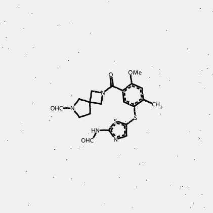 COc1cc(C)c(Sc2cnc(NC=O)s2)cc1C(=O)N1CC2(CCN(C=O)C2)C1